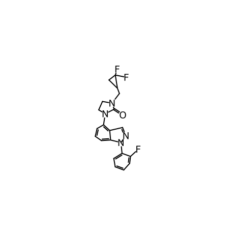 O=C1N(CC2CC2(F)F)CCN1c1cccc2c1cnn2-c1ccccc1F